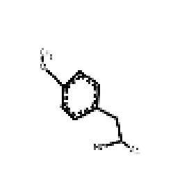 CC(=O)C(C#N)Cc1ccc(OC(F)(F)F)cc1